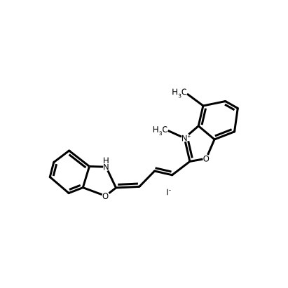 Cc1cccc2oc(C=CC=C3Nc4ccccc4O3)[n+](C)c12.[I-]